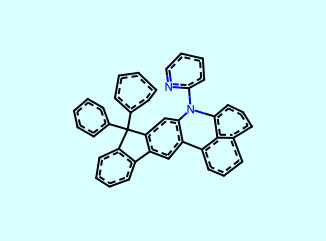 c1ccc(C2(c3ccccc3)c3ccccc3-c3cc4c(cc32)N(c2ccccn2)c2cccc3cccc-4c23)cc1